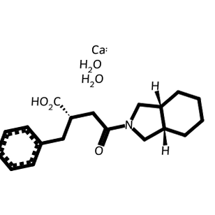 O.O.O=C(O)[C@H](CC(=O)N1C[C@H]2CCCC[C@H]2C1)Cc1ccccc1.[Ca]